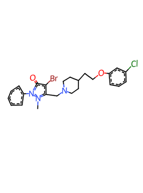 Cn1c(CN2CCC(CCOc3cccc(Cl)c3)CC2)c(Br)c(=O)n1-c1ccccc1